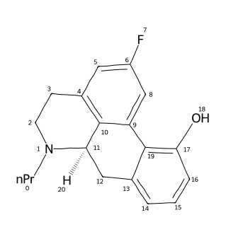 CCCN1CCc2cc(F)cc3c2[C@H]1Cc1cccc(O)c1-3